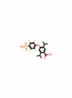 CC(C)c1cc(C(=O)O)c(C(C)C)cc1Oc1c(F)c(F)c(S(=O)(=O)O)c(F)c1F